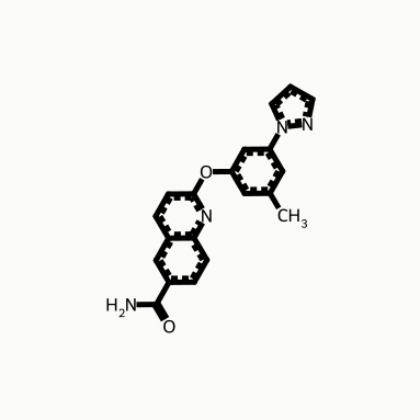 Cc1cc(Oc2ccc3cc(C(N)=O)ccc3n2)cc(-n2cccn2)c1